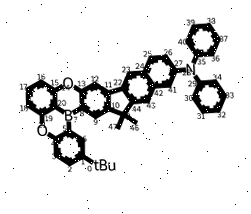 CC(C)(C)c1ccc2c(c1)B1c3cc4c(cc3Oc3cccc(c31)O2)-c1cc2ccc(N(c3ccccc3)c3ccccc3)cc2cc1C4(C)C